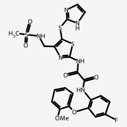 COc1ccccc1Oc1cc(F)ccc1NC(=O)C(=O)Nc1nc(CNS(C)(=O)=O)c(Sc2ncc[nH]2)s1